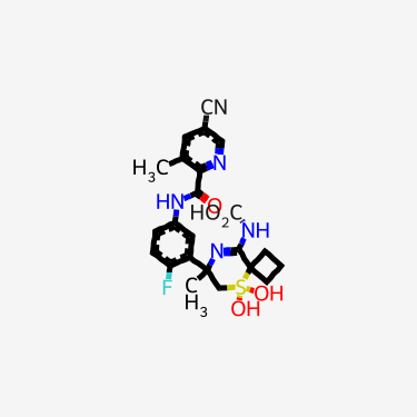 Cc1cc(C#N)cnc1C(=O)Nc1ccc(F)c(C2(C)CS(O)(O)C3(CCC3)C(NC(=O)O)=N2)c1